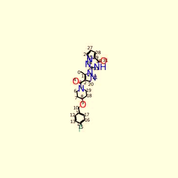 Cc1c(C(=O)N2CCC(OCc3ccc(F)cc3)CC2)cnn1-c1nn2cccc2c(=O)[nH]1